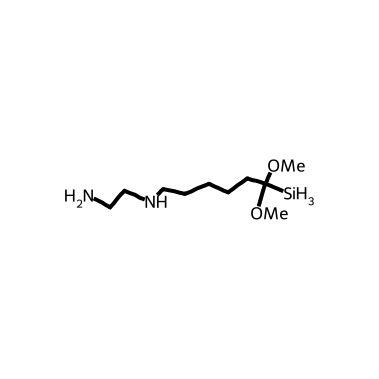 COC([SiH3])(CCCCCNCCN)OC